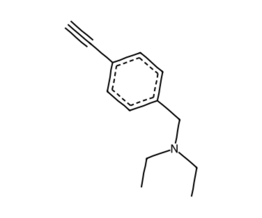 C#Cc1ccc(CN(CC)CC)cc1